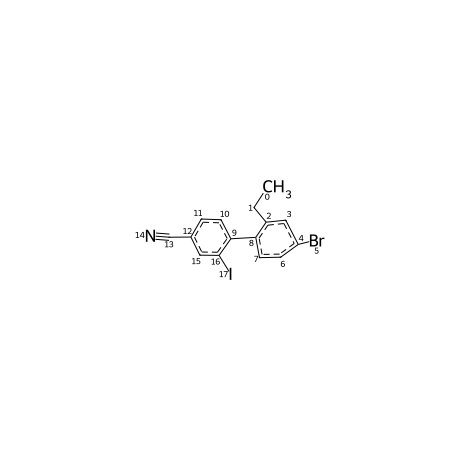 CCc1cc(Br)ccc1-c1ccc(C#N)cc1I